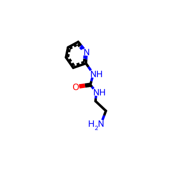 NCCNC(=O)Nc1ccccn1